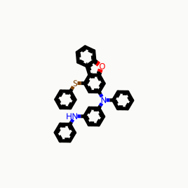 c1ccc(Nc2cccc(N(c3ccccc3)c3cc(Sc4ccccc4)c4c(c3)oc3ccccc34)c2)cc1